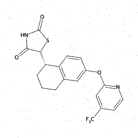 O=C1NC(=O)C([C@H]2CCCc3cc(Oc4cc(C(F)(F)F)ccn4)ccc32)S1